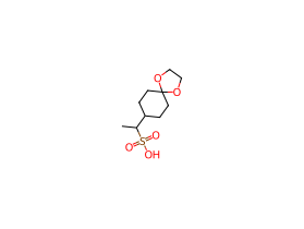 CC(C1CCC2(CC1)OCCO2)S(=O)(=O)O